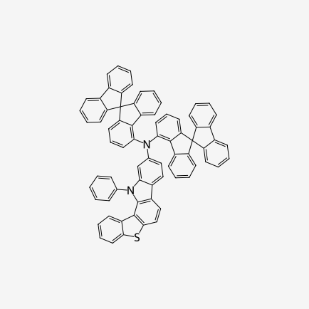 c1ccc(-n2c3cc(N(c4cccc5c4-c4ccccc4C54c5ccccc5-c5ccccc54)c4cccc5c4-c4ccccc4C54c5ccccc5-c5ccccc54)ccc3c3ccc4sc5ccccc5c4c32)cc1